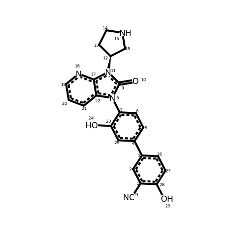 N#Cc1cc(-c2ccc(-n3c(=O)n([C@H]4CCNC4)c4ncccc43)c(O)c2)ccc1O